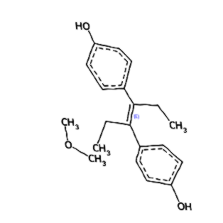 CC/C(=C(/CC)c1ccc(O)cc1)c1ccc(O)cc1.COC